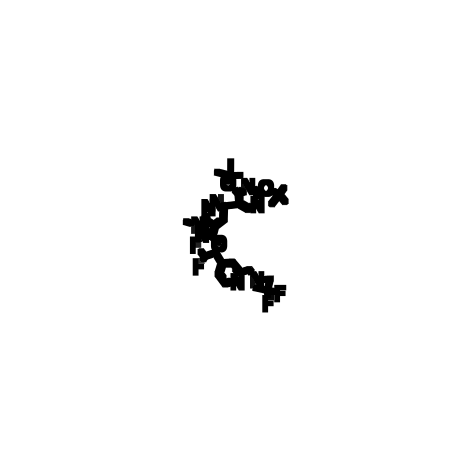 Cn1nc(O[C@H](c2ccnc(CN3CC(F)(F)C3)c2)C(F)F)c2cc(-c3cnc(OC(C)(C)C)nc3OC(C)(C)C)nnc21